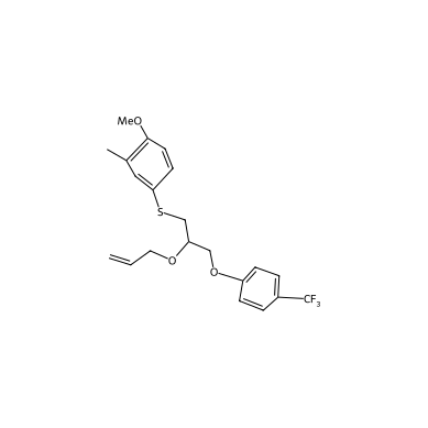 C=CCOC(COc1ccc(C(F)(F)F)cc1)CSc1ccc(OC)c(C)c1